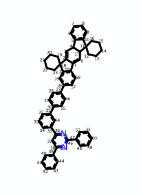 C1=C2C(=CC3c4ccccc4C4(CCCCC4)C13)C1(CCCCC1)c1cc(-c3ccc(-c4cccc(-c5cc(-c6ccccc6)nc(-c6ccccc6)n5)c4)cc3)ccc12